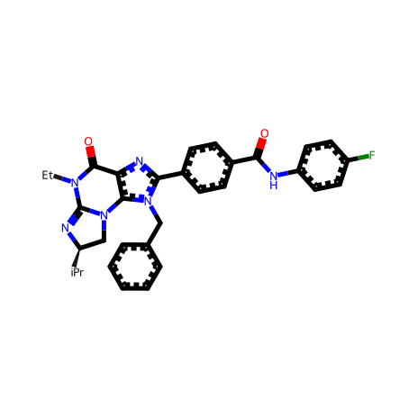 CCN1C(=O)c2nc(-c3ccc(C(=O)Nc4ccc(F)cc4)cc3)n(Cc3ccccc3)c2N2C[C@@H](C(C)C)N=C12